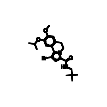 COc1cc2c(cc1OC(C)C)-c1c(Br)cc(C(=O)NCC(C)(C)C)n1CC2